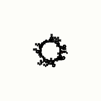 CCCC[C@H]1C(=O)N(C)[C@@H](Cc2c[nH]c3ccccc23)C(=O)N[C@@H](CCCN)C(=O)N[C@H](C(=O)NCC(N)=O)CSCC(=O)N[C@@H](Cc2ccc(O)cc2)C(=O)N(C)[C@@H](C)C(=O)N[C@@H](CC(N)=O)C(=O)N2CCC[C@H]2C(=O)N[C@@H](Cc2c[nH]cn2)C(=O)N[C@@H](CCC(=O)O)C(=O)N2C[C@H](O)C[C@H]2C(=O)N[C@@H](Cc2c[nH]c3ccccc23)C(=O)N[C@@H](CCN)C(=O)N[C@@H](Cc2c[nH]c3ccccc23)C(=O)N1C